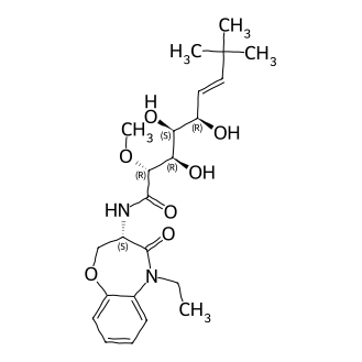 CCN1C(=O)[C@@H](NC(=O)[C@H](OC)[C@H](O)[C@@H](O)[C@H](O)C=CC(C)(C)C)COc2ccccc21